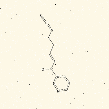 [O-][S+](C=CCCN=C=S)c1cccnc1